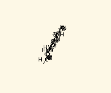 Cn1ncc2cc(NC(=O)Nc3cccc(Oc4ccnc(C(=O)NCCCn5ccnc5)c4)c3)ccc21